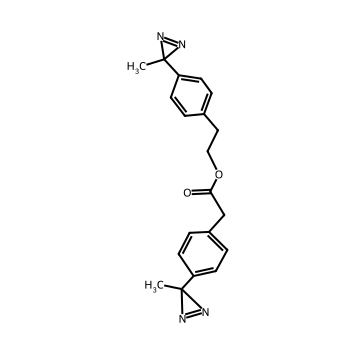 CC1(c2ccc(CCOC(=O)Cc3ccc(C4(C)N=N4)cc3)cc2)N=N1